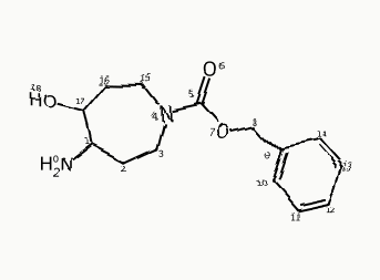 NC1CCN(C(=O)OCc2ccccc2)CCC1O